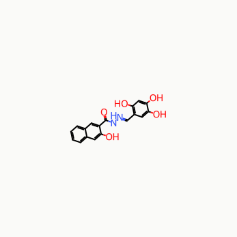 O=C(NN=Cc1cc(O)c(O)cc1O)c1cc2ccccc2cc1O